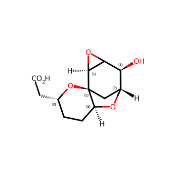 O=C(O)C[C@H]1CC[C@@H]2O[C@@H]3C[C@@]2(O1)[C@H]1OC1[C@H]3O